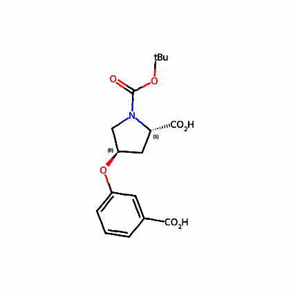 CC(C)(C)OC(=O)N1C[C@H](Oc2cccc(C(=O)O)c2)C[C@H]1C(=O)O